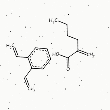 C=C(CCCC)C(=O)O.C=Cc1ccccc1C=C